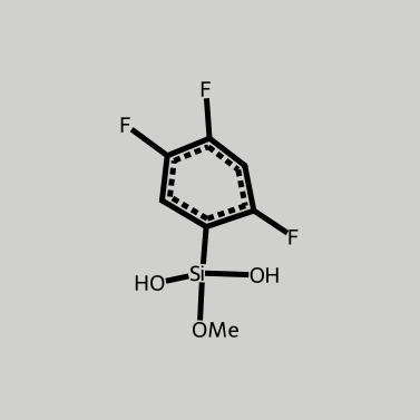 CO[Si](O)(O)c1cc(F)c(F)cc1F